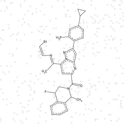 CC/C=C\N=C(/C)c1cc(C(=O)N2CC(F)c3ccccc3C2C)nc2cc(-c3ccc(C4CC4)cc3P)nn12